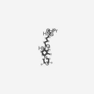 Cc1c(N2C[C@@H](C)O[C@@H](C)C2)ccc(NC(=O)CCCCNS(=O)(=O)C(C)C)c1F